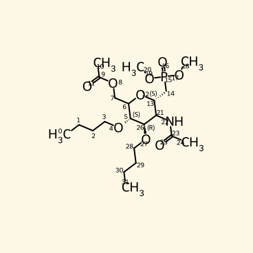 CCCCO[C@@H]1C(COC(C)=O)O[C@H](CP(=O)(OC)OC)C(NC(C)=O)[C@H]1OCCCC